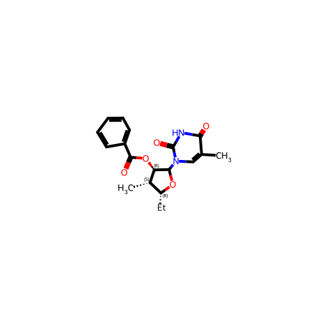 CC[C@H]1OC(n2cc(C)c(=O)[nH]c2=O)[C@H](OC(=O)c2ccccc2)[C@H]1C